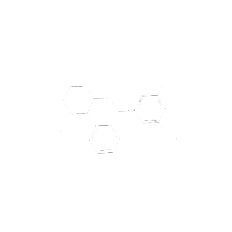 Cc1cc(C)cc(COC2CCCN(C)C2c2ccccc2)c1